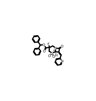 O=C1C(=Cc2ccccn2)[C@@H]2N1CC(F)(C(=O)OC(c1ccccc1)c1ccccc1)CS2(=O)=O